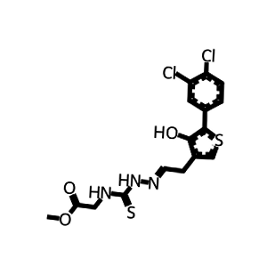 COC(=O)CNC(=S)NN=CCc1csc(-c2ccc(Cl)c(Cl)c2)c1O